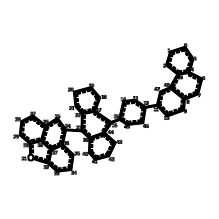 c1ccc2c(c1)ccc1ccc(-c3ccc(-c4c5ccccc5c(-c5cc6cccc7oc8cccc5c8c67)c5ccccc45)cc3)cc12